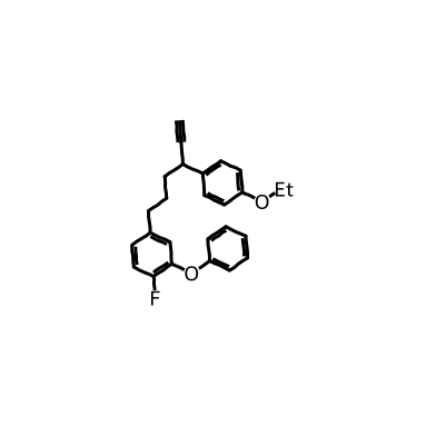 C#CC(CCCc1ccc(F)c(Oc2ccccc2)c1)c1ccc(OCC)cc1